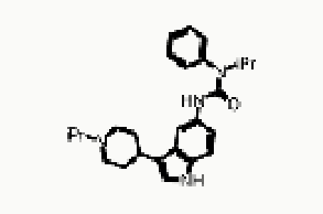 CC(C)N1CCC(c2c[nH]c3ccc(NC(=O)N(c4ccccc4)C(C)C)cc23)CC1